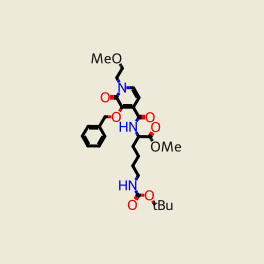 COCCn1ccc(C(=O)NC(CCCCNC(=O)OC(C)(C)C)C(=O)OC)c(OCc2ccccc2)c1=O